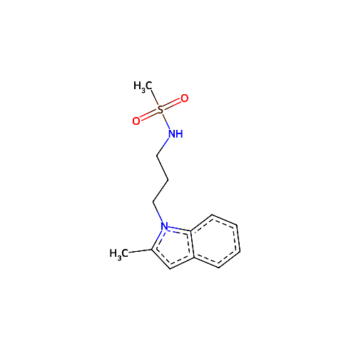 Cc1cc2ccccc2n1CCCNS(C)(=O)=O